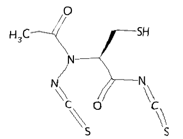 CC(=O)N(N=C=S)[C@@H](CS)C(=O)N=C=S